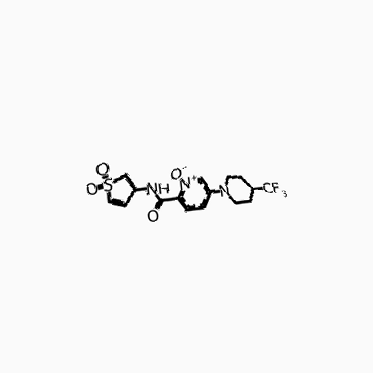 O=C(NC1C=CS(=O)(=O)C1)c1ccc(N2CCC(C(F)(F)F)CC2)c[n+]1[O-]